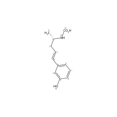 C[C@@H](CC=Cc1cccc(O)c1)NC(=O)O